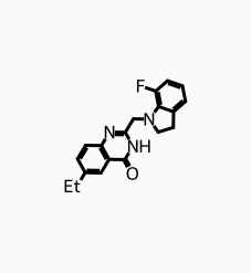 CCc1ccc2nc(CN3CCc4cccc(F)c43)[nH]c(=O)c2c1